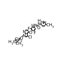 Cc1ccc(NC(=O)Nc2cc(F)c(Oc3ccnc4c3c(Cl)cn4COCC[Si](C)(C)C)c(F)c2)nn1